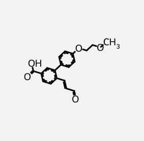 COCCOc1ccc(-c2cc(C(=O)O)ccc2C=CC=O)cc1